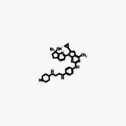 CC[C@@]1(O)CCc2ccc(-n3c(C4CC4)cc4c(C)nc(Nc5ccc(NCCNC6CCNCC6)cc5)nc43)nc21